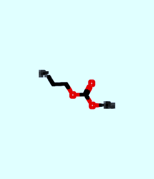 C[CH][C@H](C)OC(=O)OCCC(C)C